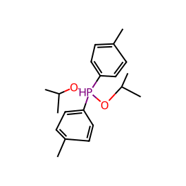 Cc1ccc([PH](OC(C)C)(OC(C)C)c2ccc(C)cc2)cc1